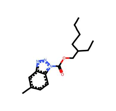 CCCCC(CC)COC(=O)n1nnc2cc(C)ccc21